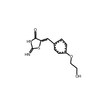 N=C1NC(=O)/C(=C/c2ccc(OCCO)cc2)S1